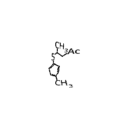 CC(=O)CC(C)Sc1ccc(C)cc1